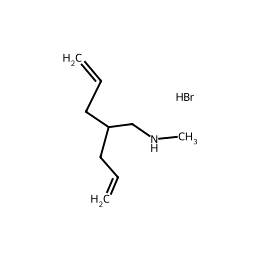 Br.C=CCC(CC=C)CNC